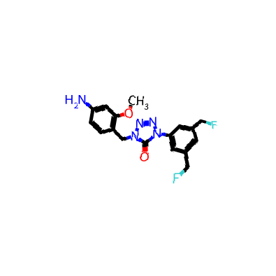 COc1cc(N)ccc1Cn1nnn(-c2cc(CF)cc(CF)c2)c1=O